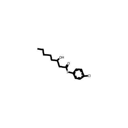 CCCCCC(O)CC(=O)Sc1ccc(Cl)cc1